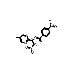 Cc1cnc([C@@H](OC(=O)c2ccc([N+](=O)[O-])cc2)[C@H](C)[SH](=O)=O)nc1